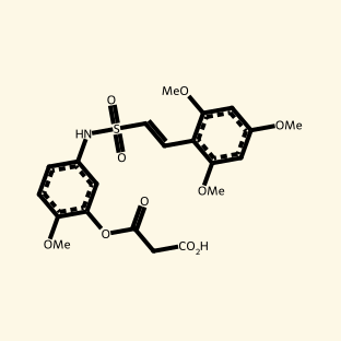 COc1cc(OC)c(C=CS(=O)(=O)Nc2ccc(OC)c(OC(=O)CC(=O)O)c2)c(OC)c1